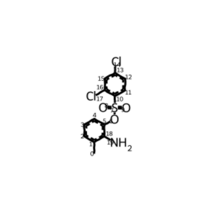 Cc1cccc(OS(=O)(=O)c2ccc(Cl)cc2Cl)c1N